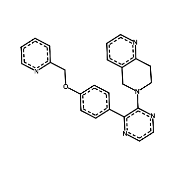 c1ccc(COc2ccc(-c3nccnc3N3CCc4ncccc4C3)cc2)nc1